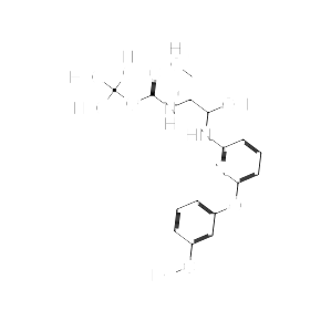 CC[C@@H](NC(=O)OC(C)(C)C)C(O)Nc1cccc(Oc2cccc(OC)c2)n1